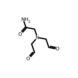 NC(=O)CN(CC=O)CC=O